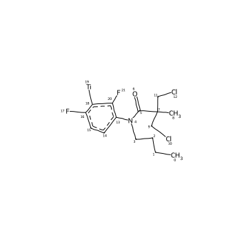 CCCCN(C(=O)C(C)(CCl)CCl)c1ccc(F)[c]([Ti])c1F